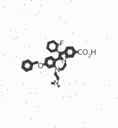 CN(C)CCN1CCn2c(c([C@H]3CCCC[C@@H]3F)c3ccc(C(=O)O)cc32)-c2ccc(OCc3ccccc3)cc21